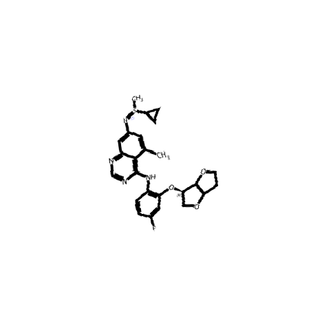 Cc1cc(/N=S(/C)C2CC2)cc2ncnc(Nc3ccc(F)cc3O[C@@H]3COC4CCOC43)c12